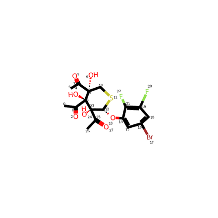 CC(=O)[C@]1(O)[C@@](O)(C(C)=O)CS[C@H](Oc2cc(Br)cc(F)c2F)[C@@]1(O)C(C)=O